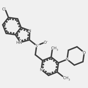 Cc1cnc(C[S+]([O-])c2nc3cc(Cl)ccc3[nH]2)c(C)c1N1CCOCC1